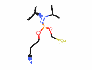 CC(C)N(C(C)C)P(OCS)OCCC#N